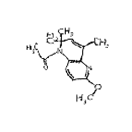 COc1ccc2c(n1)C(C)=CC(C)(C)N2C(C)=O